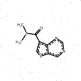 CN(C)C(=O)c1csc2cncnc12